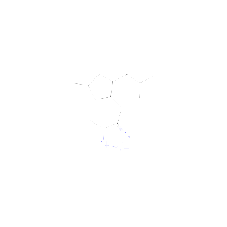 CC(C)CC1CC(C)CC1CC1=NNNC1C